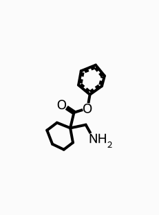 NCC1(C(=O)Oc2ccccc2)CCCCC1